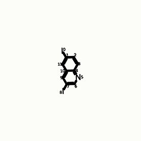 Ic1ccc2ncc(I)cc2c1